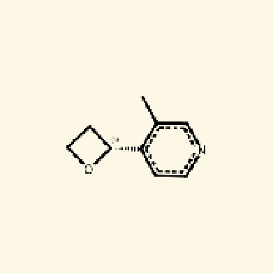 Cc1cnccc1[C@H]1CCO1